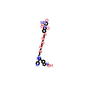 O=C1CCC(N2C(=O)c3ccc(OCCOCCOCCOCCOCCCn4cc(-c5ccc6c(c5)CC/C6=N\O)c(-c5ccncc5)n4)cc3C2=O)C(=O)N1